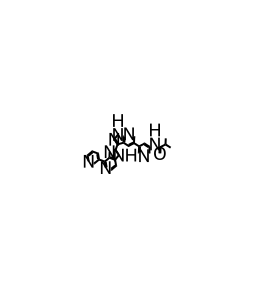 CC(C)C(=O)Nc1cncc(-c2cnc3[nH]nc(-c4nc5c(-c6cccnc6)nccc5[nH]4)c3c2)c1